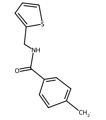 [CH2]c1ccc(C(=O)NCc2cccs2)cc1